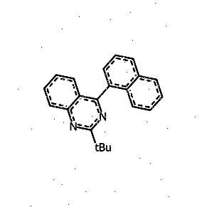 CC(C)(C)c1nc(-c2cccc3ccccc23)c2ccccc2n1